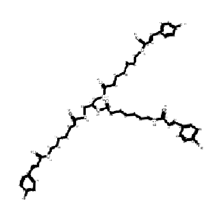 O=C(C=Cc1ccc(F)cc1)OCCCCCCC(=O)OCC(COC(=O)CCCCCCOC(=O)C=Cc1ccc(F)cc1)OC(=O)CCCCCCOC(=O)C=Cc1ccc(F)cc1